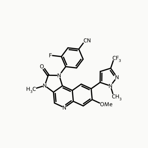 COc1cc2ncc3c(c2cc1-c1cc(C(F)(F)F)nn1C)n(-c1ccc(C#N)cc1F)c(=O)n3C